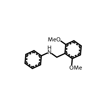 COc1cccc(OC)c1CNc1ccccc1